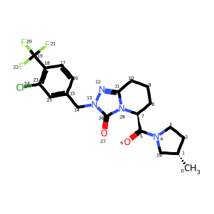 C[C@H]1CCN(C(=O)[C@@H]2CCCc3nn(Cc4ccc(C(F)(F)F)c(Cl)c4)c(=O)n32)C1